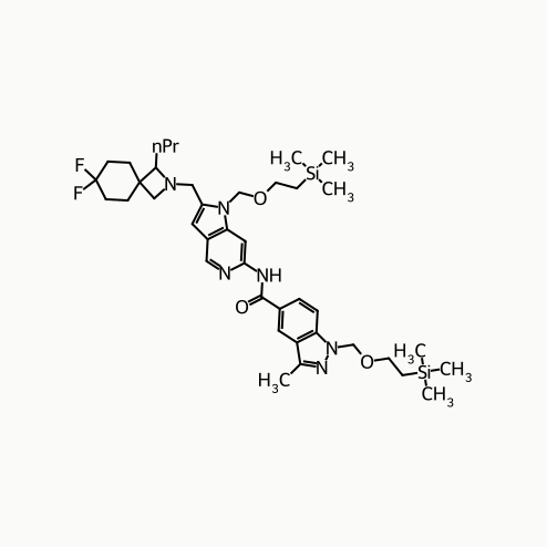 CCCC1N(Cc2cc3cnc(NC(=O)c4ccc5c(c4)c(C)nn5COCC[Si](C)(C)C)cc3n2COCC[Si](C)(C)C)CC12CCC(F)(F)CC2